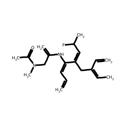 C=C/C=C(NC(=C)CN(C)C(C)=O)\C(=C/C(C)F)C/C(C=C)=C/C